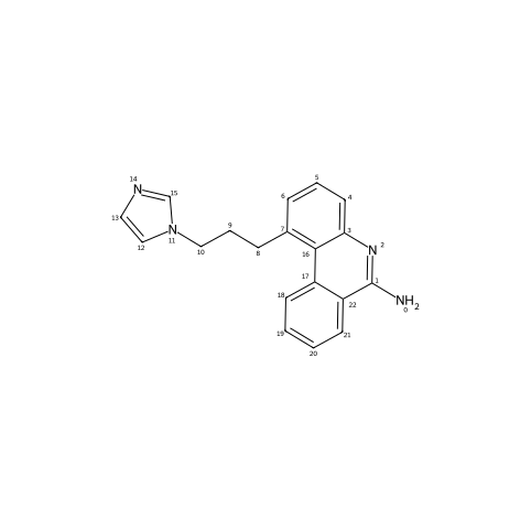 Nc1nc2cccc(CCCn3ccnc3)c2c2ccccc12